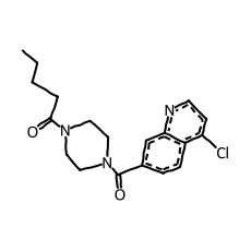 CCCCC(=O)N1CCN(C(=O)c2ccc3c(Cl)ccnc3c2)CC1